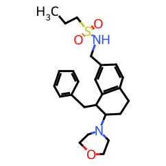 CCCS(=O)(=O)NCc1ccc2c(c1)C(Cc1ccccc1)C(N1CCOCC1)CC2